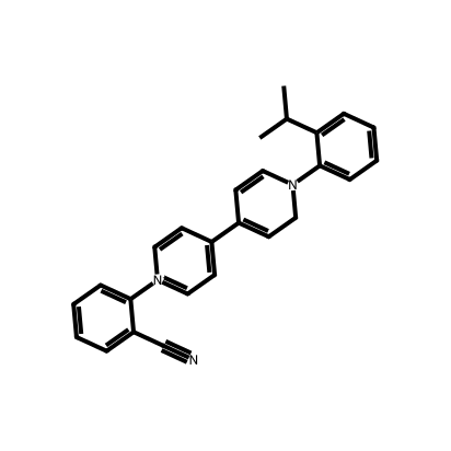 CC(C)c1ccccc1N1C=CC(c2cc[n+](-c3ccccc3C#N)cc2)=CC1